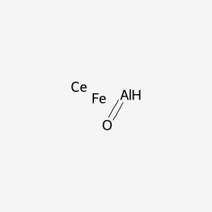 [Ce].[Fe].[O]=[AlH]